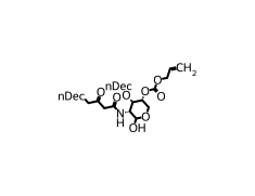 C=CCOC(=O)O[C@@H]1COC(O)[C@H](NC(=O)CC(=O)CCCCCCCCCCC)[C@H]1OCCCCCCCCCC